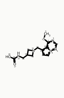 CSc1ncnn2ccc(CN3CC(CNC(=O)O)C3)c12